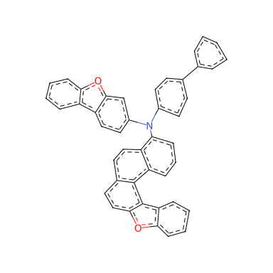 c1ccc(-c2ccc(N(c3ccc4c(c3)oc3ccccc34)c3cccc4c3ccc3ccc5oc6ccccc6c5c34)cc2)cc1